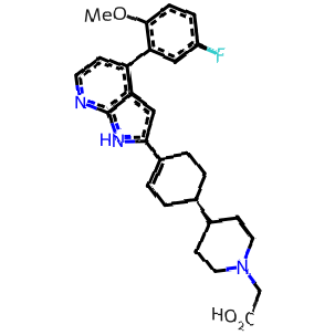 COc1ccc(F)cc1-c1ccnc2[nH]c(C3=CC[C@H](C4CCN(CC(=O)O)CC4)CC3)cc12